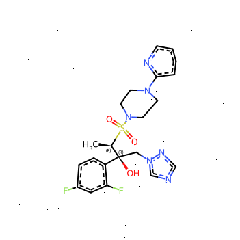 C[C@H]([C@](O)(Cn1cncn1)c1ccc(F)cc1F)S(=O)(=O)N1CCN(c2ccccn2)CC1